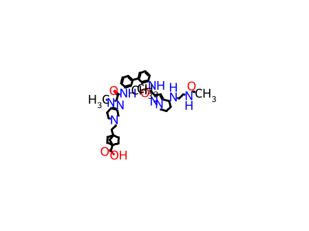 CC(=O)NCCNC1CCCn2nc(C(=O)Nc3cccc(-c4cccc(NC(=O)c5nc6c(n5C)CCN(CCC57CCC(C(=O)O)(CC5)C7)C6)c4C)c3C)cc21